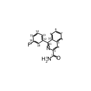 NC(=O)c1cc2ccccc2c(-c2cccc(F)c2)n1